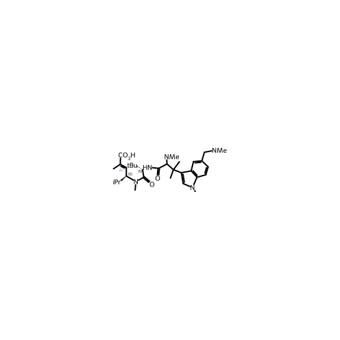 CNCc1ccc2c(c1)c(C(C)(C)C(NC)C(=O)N[C@H](C(=O)N(C)[C@H](/C=C(\C)C(=O)O)C(C)C)C(C)(C)C)cn2C